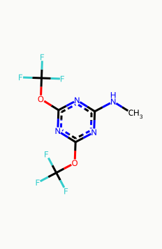 CNc1nc(OC(F)(F)F)nc(OC(F)(F)F)n1